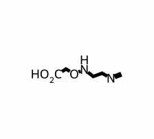 C=NCCNOCC(=O)O